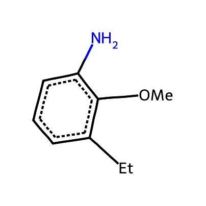 CCc1cccc(N)c1OC